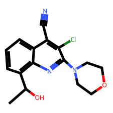 CC(O)c1cccc2c(C#N)c(Cl)c(N3CCOCC3)nc12